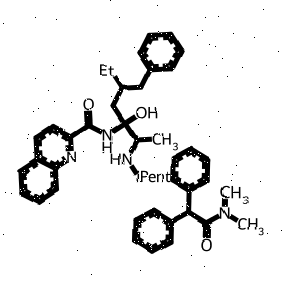 CCCC(C)NC(C)C(O)(CC(CC)Cc1ccccc1)NC(=O)c1ccc2ccccc2n1.CN(C)C(=O)C(c1ccccc1)c1ccccc1